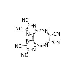 N#Cc1ncc2nc(C#N)c(C#N)nc2c2nc(C#N)c(C#N)nc2cnc1C#N